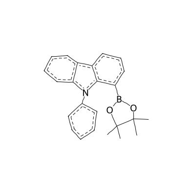 CC1(C)OB(c2cccc3c4ccccc4n(-c4ccccc4)c23)OC1(C)C